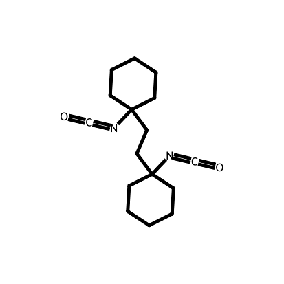 O=C=NC1(CCC2(N=C=O)CCCCC2)CCCCC1